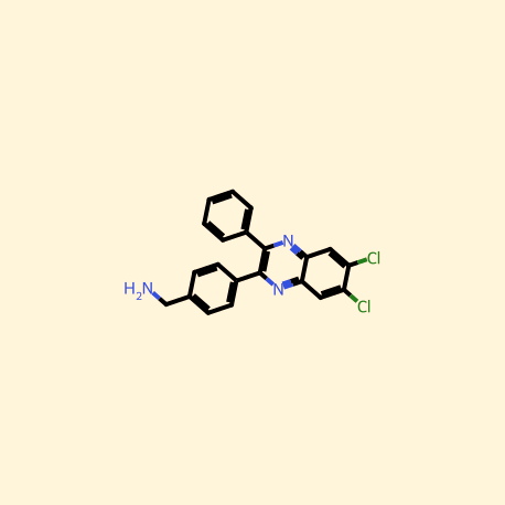 NCc1ccc(-c2nc3cc(Cl)c(Cl)cc3nc2-c2ccccc2)cc1